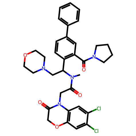 CN(C(=O)CN1C(=O)COc2cc(Cl)c(Cl)cc21)C(CN1CCOCC1)c1ccc(-c2ccccc2)cc1C(=O)N1CCCC1